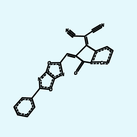 N#CC(C#N)=C1/C(=C/c2nc3oc(-c4ccccc4)nc3o2)C(=O)c2ccccc21